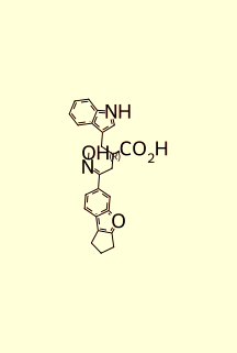 O=C(O)[C@@H](CC(=NO)c1ccc2c3c(oc2c1)CCC3)Cc1c[nH]c2ccccc12